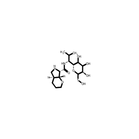 CC(C)[C@@H](NC(=O)[C@H]1NC[C@@H]2CCCO[C@H]21)[C@H]1OC(SO)[C@H](O)C(O)C1O